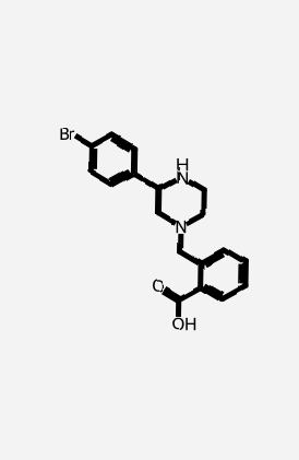 O=C(O)c1ccccc1CN1CCNC(c2ccc(Br)cc2)C1